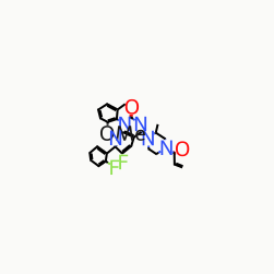 C=CC(=O)N1CCN(c2nc(=O)n(-c3c(C)cccc3OC)c3nc(-c4ccccc4F)c(F)cc23)C(C)C1